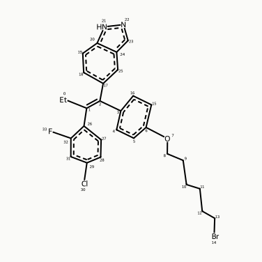 CC/C(=C(/c1ccc(OCCCCCCBr)cc1)c1ccc2[nH]ncc2c1)c1ccc(Cl)cc1F